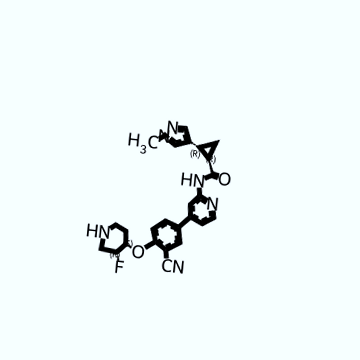 Cn1cc([C@@H]2C[C@H]2C(=O)Nc2cc(-c3ccc(O[C@H]4CCNC[C@H]4F)c(C#N)c3)ccn2)cn1